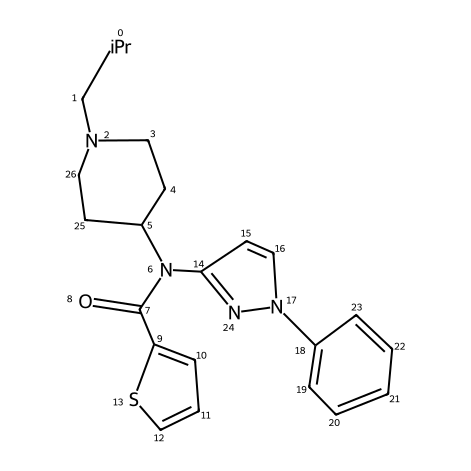 CC(C)CN1CCC(N(C(=O)c2cccs2)c2ccn(-c3ccccc3)n2)CC1